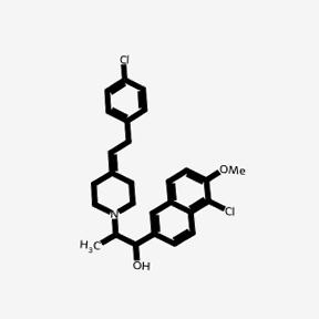 COc1ccc2cc(C(O)C(C)N3CCC(=CCc4ccc(Cl)cc4)CC3)ccc2c1Cl